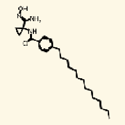 CCCCCCCCCCCCCCc1ccc(C(=O)NC2(/C(N)=N/O)CC2)cc1